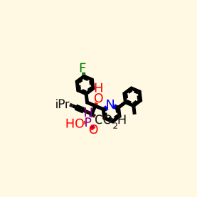 Cc1ccccc1-c1cccc(C(O)(Cc2ccc(F)cc2)C(C#CC(C)C)(C(=O)O)[PH](=O)O)n1